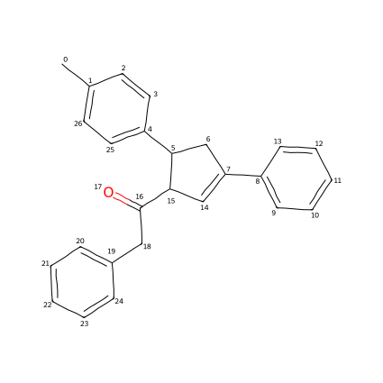 Cc1ccc(C2CC(c3ccccc3)=CC2C(=O)Cc2ccccc2)cc1